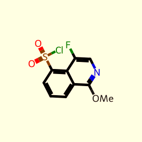 COc1ncc(F)c2c(S(=O)(=O)Cl)cccc12